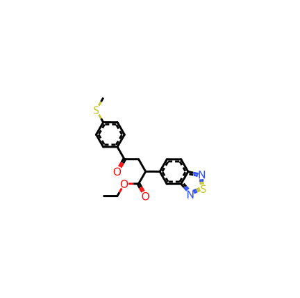 CCOC(=O)C(CC(=O)c1ccc(SC)cc1)c1ccc2nsnc2c1